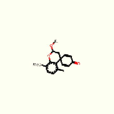 CCOC1CC2(C=CC(=O)C=C2)c2c(C)ccc(OC)c2O1